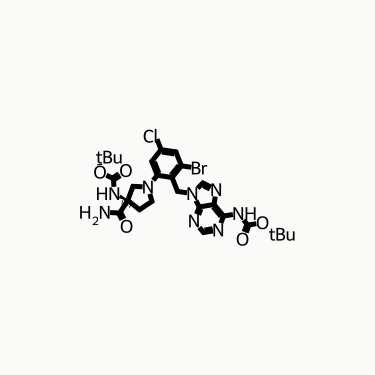 CC(C)(C)OC(=O)Nc1ncnc2c1ncn2Cc1c(Br)cc(Cl)cc1N1CC[C@](NC(=O)OC(C)(C)C)(C(N)=O)C1